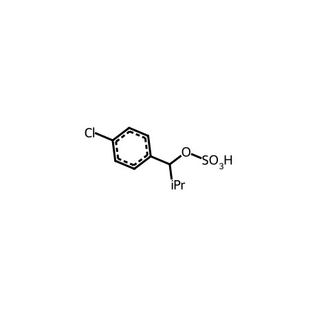 CC(C)C(OS(=O)(=O)O)c1ccc(Cl)cc1